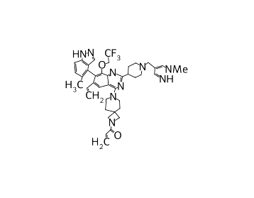 C=CC(=O)N1CC2(CCN(c3nc(C4CCN(C/C(C=N)=C/NC)CC4)nc4c(OCC(F)(F)F)c(-c5c(C)ccc6[nH]ncc56)c(C=C)cc34)CC2)C1